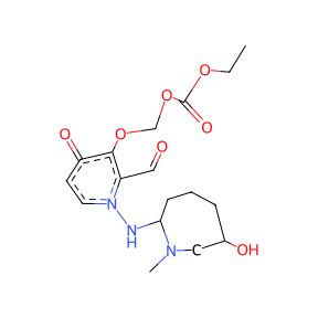 CCOC(=O)OCOc1c(C=O)n(NC2CCCC(O)CN2C)ccc1=O